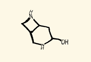 OC1CC2NCC2CN1